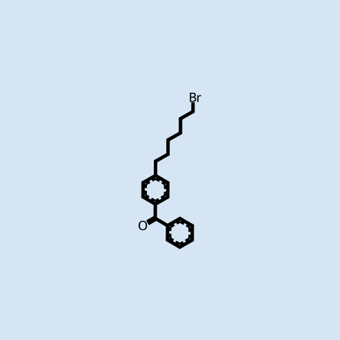 O=C(c1ccccc1)c1ccc(CCCCCCBr)cc1